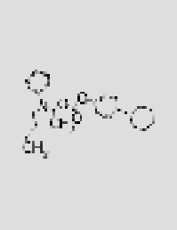 CCCCN(c1ccccc1)C(C)OC(=O)Oc1ccc(C2CCCCC2)cc1